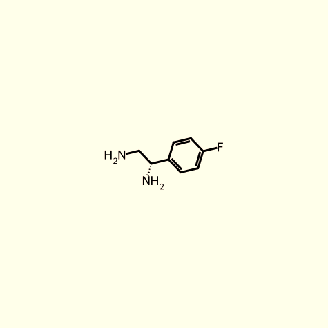 NC[C@@H](N)c1ccc(F)cc1